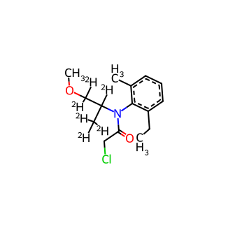 [2H]C([2H])([2H])C([2H])(N(C(=O)CCl)c1c(C)cccc1CC)C([2H])([2H])OC